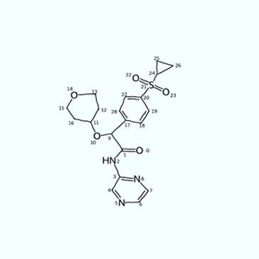 O=C(Nc1cnccn1)C(OC1CCOCC1)c1ccc(S(=O)(=O)C2CC2)cc1